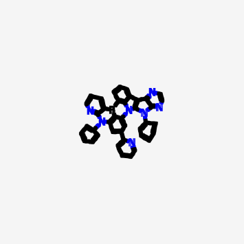 c1ccc(N2c3cc(-c4ccccn4)cc4c3B(c3cccnc32)c2cccc3c5c6nccnc6n(-c6ccccc6)c5n-4c23)cc1